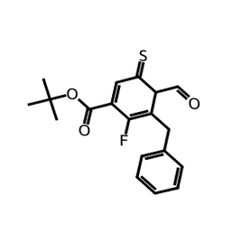 CC(C)(C)OC(=O)C1=CC(=S)C(C=O)C(Cc2ccccc2)=C1F